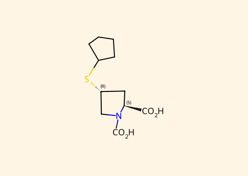 O=C(O)[C@@H]1C[C@@H](SC2CCCC2)CN1C(=O)O